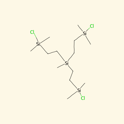 C[Si](C)(Cl)CC[Si](C)(CC[Si](C)(C)Cl)CC[Si](C)(C)Cl